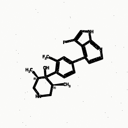 C[C@@H]1CNC[C@H](C)C1(O)c1ccc(-c2ccnc3[nH]cc(F)c23)cc1C(F)(F)F